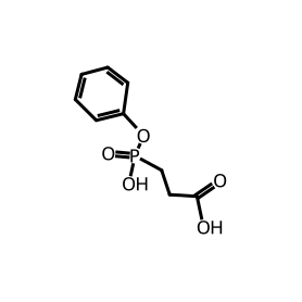 O=C(O)CCP(=O)(O)Oc1ccccc1